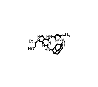 CC[C@@H](CO)n1ncc2c(Nc3cc(C)[nH]n3)nc(NC3C4CC5CC3CC(O)(C5)C4)nc21